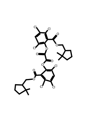 CC1(C)CCCC1COC(=O)c1c(Cl)c(Cl)cc(Cl)c1OC(=O)C(=O)Oc1c(Cl)cc(Cl)c(Cl)c1C(=O)OCC1CCCC1(C)C